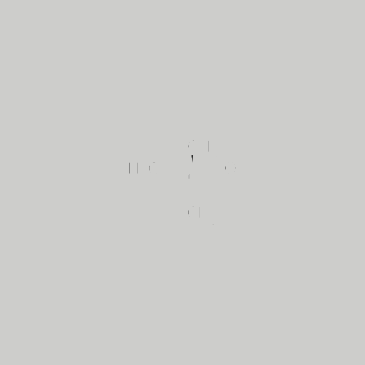 C=C[C@H](C)[C@@H](C)C=O